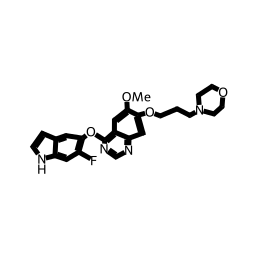 COc1cc2c(Oc3cc4cc[nH]c4cc3F)ncnc2cc1OCCCN1CCOCC1